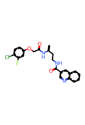 C=C(CCNC(=O)c1cnc2ccccc2c1)NC(=O)COc1ccc(Cl)c(F)c1